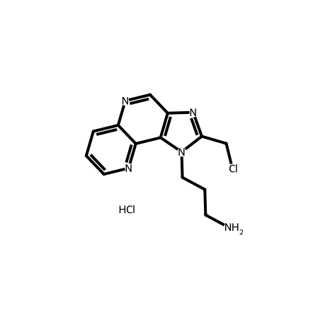 Cl.NCCCn1c(CCl)nc2cnc3cccnc3c21